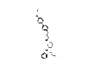 COCCCn1c([C@@H]2CCCN(C(=O)C[C@H](N)Cc3ccc(-c4ccc(C(=O)NCCO)cc4)cc3)C2)nc2ccccc21